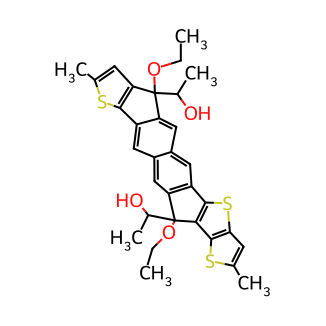 CCOC1(C(C)O)c2cc3cc4c(cc3cc2-c2sc(C)cc21)C(OCC)(C(C)O)c1c-4sc2cc(C)sc12